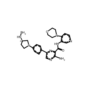 BN[C@@H]1CCN(c2ccc(-c3cnc(N)c(C(=O)Nc4cnccc4N4CCOCC4)n3)cc2)C1